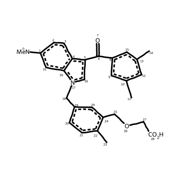 CNc1ccc2c(C(=O)c3cc(C)cc(C)c3)cn(Cc3ccc(C)c(COCC(=O)O)c3)c2c1